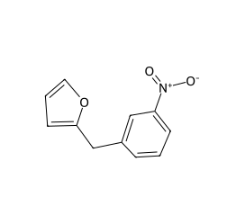 O=[N+]([O-])c1cccc(Cc2ccco2)c1